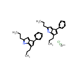 CCCC1=NC2=C(CCC)C=C(c3ccccc3)C2=C1.CCCC1=NC2=C(CCC)C=C(c3ccccc3)C2=C1.[Cl-].[Cl-].[Zr+2]